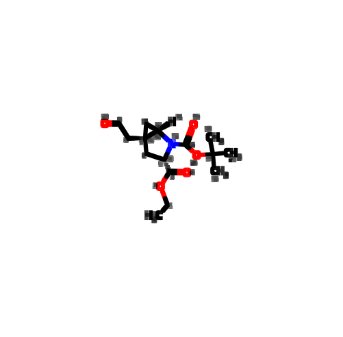 CCOC(=O)[C@@H]1C[C@]2(CC=O)C[C@@H]2N1C(=O)OC(C)(C)C